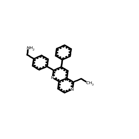 CCc1nccc2nc(-c3ccc(CN)cc3)c(-c3ccccc3)cc12